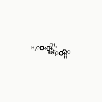 Cc1ccc(N2C[C@@H](C)N(C[C@H](O)COc3ccc4[nH]c(=O)ccc4c3)[C@@H](C)C2)cc1